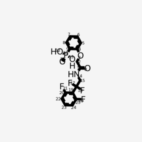 O=C(COc1ccccc1P(=O)(O)O)NCC(F)(F)c1c(F)cccc1F